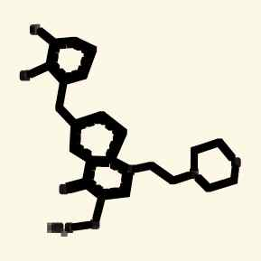 O=C(O)Oc1cn(CCN2CCOCC2)c2ccc(Cc3cccc(Cl)c3Cl)cc2c1=O